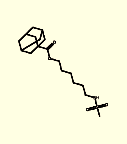 CS(=O)(=O)NCCCCCCOC(=O)C12CC3CC(CC(C3)C1)C2